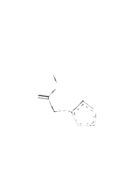 CSC(=O)Cc1ccsc1